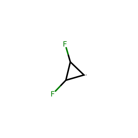 FC1[CH]C1F